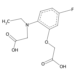 CCN(CC(=O)O)c1ccc(F)cc1OCC(=O)O